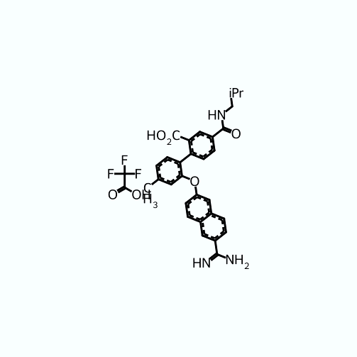 Cc1ccc(-c2ccc(C(=O)NCC(C)C)cc2C(=O)O)c(Oc2ccc3cc(C(=N)N)ccc3c2)c1.O=C(O)C(F)(F)F